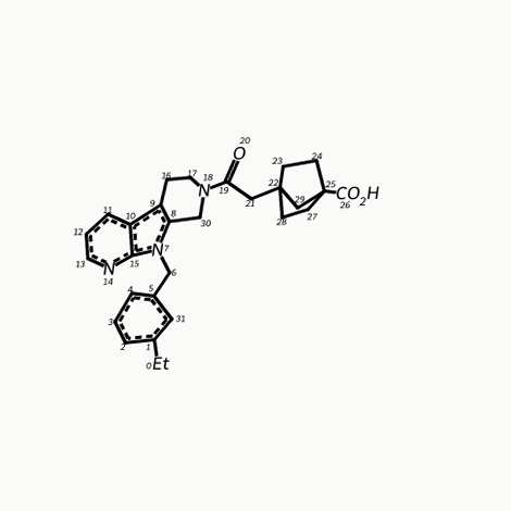 CCc1cccc(Cn2c3c(c4cccnc42)CCN(C(=O)CC24CCC(C(=O)O)(CC2)C4)C3)c1